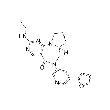 CCNc1ncc2c(n1)N1CCC[C@H]1CN(c1cncc(-c3ccco3)c1)C2=O